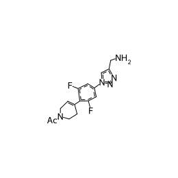 CC(=O)N1CC=C(c2c(F)cc(-n3cc(CN)nn3)cc2F)CC1